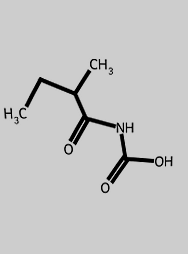 CCC(C)C(=O)NC(=O)O